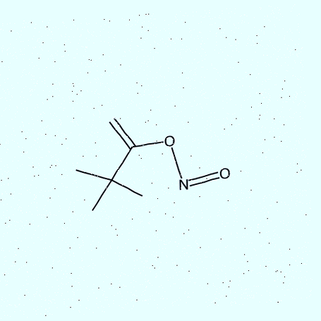 C=C(ON=O)C(C)(C)C